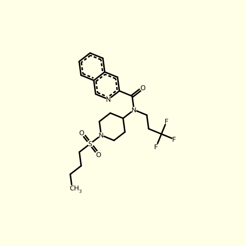 CCCCS(=O)(=O)N1CCC(N(CCC(F)(F)F)C(=O)c2cc3ccccc3cn2)CC1